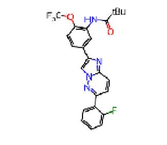 CC(C)(C)C(=O)Nc1cc(-c2cn3nc(-c4ccccc4F)ccc3n2)ccc1OC(F)(F)F